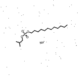 CCCCCCCCCCCCOP(=O)([O-])OCC(C)C.[Na+]